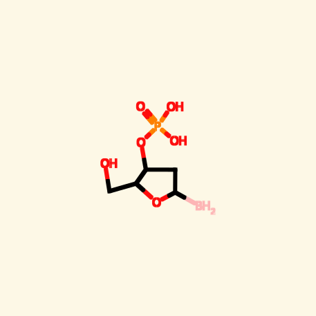 BC1CC(OP(=O)(O)O)C(CO)O1